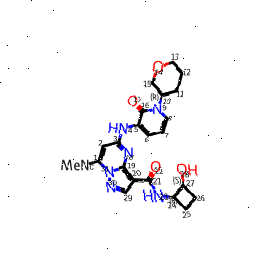 CNc1cc(Nc2cccn([C@@H]3CCCOC3)c2=O)nc2c(C(=O)N[C@@H]3CC[C@@H]3O)cnn12